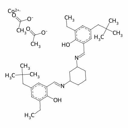 CC(=O)[O-].CC(=O)[O-].CCc1cc(CC(C)(C)C)cc(C=NC2CCCC(N=Cc3cc(CC(C)(C)C)cc(CC)c3O)C2)c1O.[Co+2]